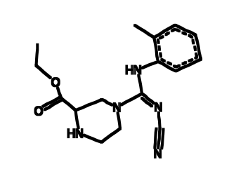 CCOC(=O)C1CN(/C(=N\C#N)Nc2ccccc2C)CCN1